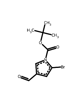 CC(C)(C)OC(=O)n1cc(C=O)cc1Br